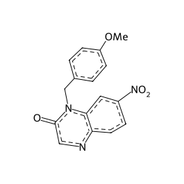 COc1ccc(Cn2c(=O)cnc3ccc([N+](=O)[O-])cc32)cc1